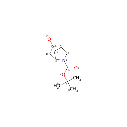 CC(C)(C)OC(=O)N1CC2CC1C[S+]2[O-]